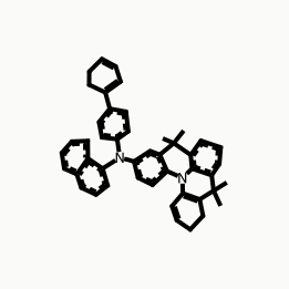 CC1(C)C2=C(C=CCC2)N2c3ccc(N(c4ccc(C5=CC=CCC5)cc4)c4cccc5ccccc45)cc3C(C)(C)c3cccc1c32